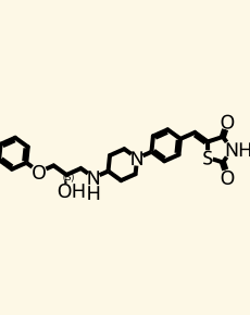 O=C1NC(=O)C(=Cc2ccc(N3CCC(NC[C@H](O)COc4ccccc4)CC3)cc2)S1